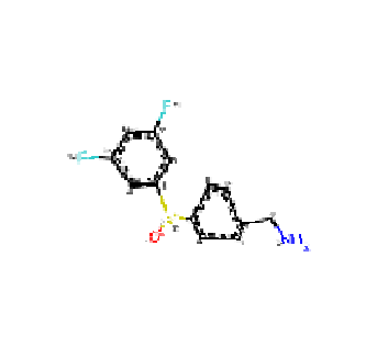 NCc1ccc([S@@+]([O-])c2cc(F)cc(F)c2)cc1